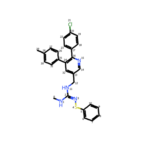 CN/C(=N\Sc1ccccc1)NCc1cnc(-c2ccc(Cl)cc2)c(-c2ccc(C)cc2)c1